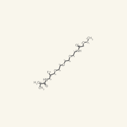 CSOCC(=O)NCCOCCOCCOCC(F)CNC(=O)C(C)C